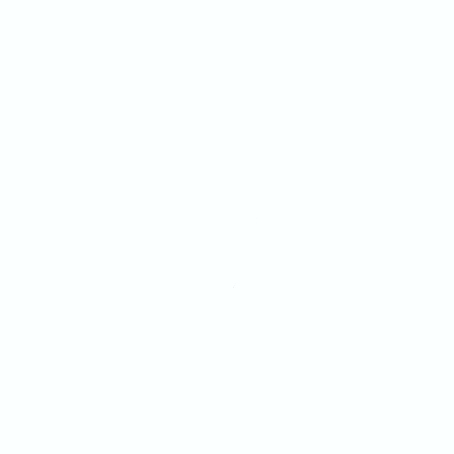 O=P12c3ccccc3Oc3cc(-c4ccc5ccccc5c4)cc(c31)Oc1ccc3ccccc3c12